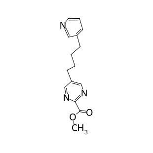 COC(=O)c1ncc(CCCCc2cccnc2)cn1